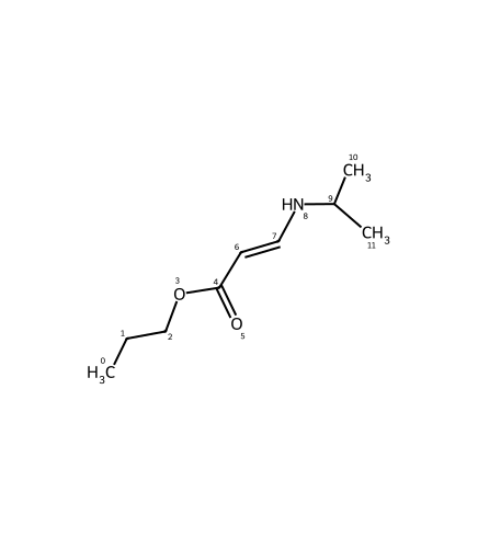 CCCOC(=O)C=CNC(C)C